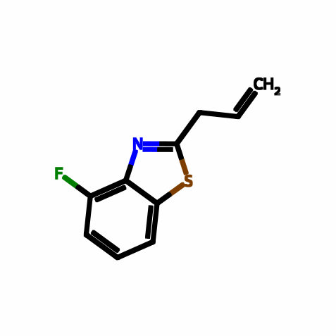 C=CCc1nc2c(F)cccc2s1